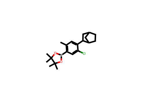 Cc1cc(C2CC3CCC2C3)c(Cl)cc1B1OC(C)(C)C(C)(C)O1